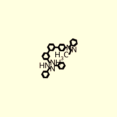 CCc1nc2ccccc2n1-c1ccc(-c2cccc(-c3cccc(C4NC(c5ccccc5)=NC(c5ccccc5)N4)c3)c2)cc1